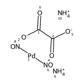 O=C([O-])C(=O)[O-].O=[N][Pd][N]=O.[NH4+].[NH4+]